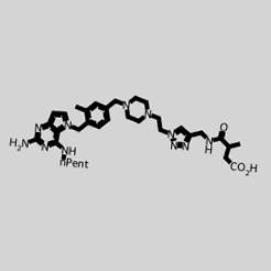 CCCCCNc1nc(N)nc2ccn(Cc3ccc(CN4CCN(CCn5cc(CNC(=O)C(C)CC(=O)O)nn5)CC4)cc3C)c12